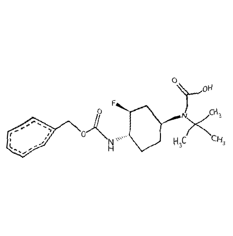 CC(C)(C)N(C(=O)O)[C@H]1CC[C@H](NC(=O)OCc2ccccc2)[C@@H](F)C1